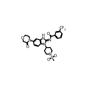 CS(=O)(=O)N1CCC(n2/c(=N/C(=O)c3cccc(C(F)(F)F)c3)[nH]c3cc(N4CCOCC4=O)ccc32)CC1